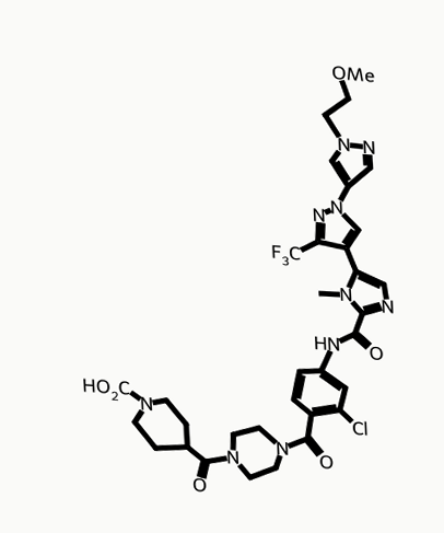 COCCn1cc(-n2cc(-c3cnc(C(=O)Nc4ccc(C(=O)N5CCN(C(=O)C6CCN(C(=O)O)CC6)CC5)c(Cl)c4)n3C)c(C(F)(F)F)n2)cn1